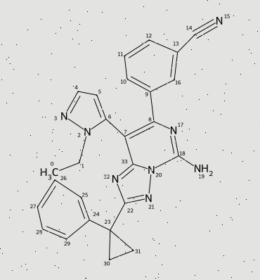 CCn1nccc1-c1c(-c2cccc(C#N)c2)nc(N)n2nc(C3(c4ccccc4)CC3)nc12